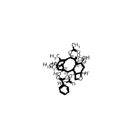 CC(=O)O[C@H]1C(=O)[C@@]2(C)C([C@H](OC(=O)c3ccccc3)[C@]3(O)C[C@H](C)C(C)=C1C3(C)C)[C@]1(OC(C)=O)CO[C@@H]1C[C@@H]2O